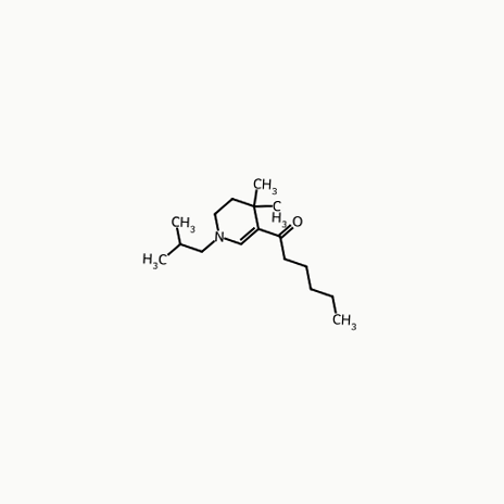 CCCCCC(=O)C1=CN(CC(C)C)CCC1(C)C